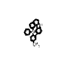 Cc1ccc2c(c1)-c1ccc3oc4ccccc4c3c1[Si]2(c1ccccc1)c1ccccc1